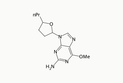 CCCC1CCC(n2cnc3c(OC)nc(N)nc32)O1